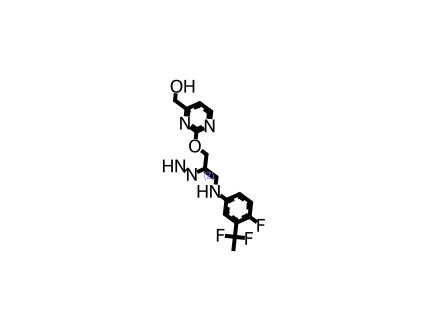 CC(F)(F)c1cc(N/C=C(/COc2nccc(CO)n2)N=N)ccc1F